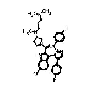 CN(C)CCCN(C)[C@H]1CCN(C(=O)c2[nH]c3cc(Cl)ccc3c2-c2c(-c3ccc(F)cc3)cnn2Cc2ccc(Cl)cc2)C1